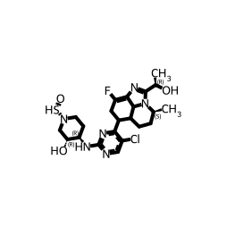 C[C@@H](O)C1=NC2=C(F)CC(c3nc(N[C@@H]4CCN([SH]=O)C[C@H]4O)ncc3Cl)C3CC[C@H](C)N1C23